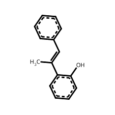 C/C(=C\c1ccccc1)c1ccccc1O